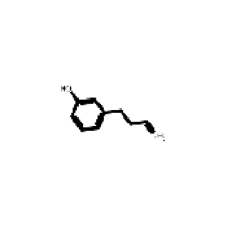 C=CCCc1cccc(O)c1